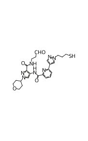 O=CCCNC(=O)c1nn(C2CCOCC2)cc1NC(=O)c1cccc(-c2cnn(CCCS)c2)n1